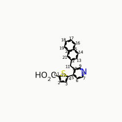 O=C(O)c1ccc(-c2ccncc2Cc2ccc3ccccc3c2)s1